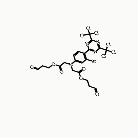 O=CCCOC(=O)CN(CC(=O)OCCC=O)c1ccc(-c2nc(C(Cl)(Cl)Cl)nc(C(Cl)(Cl)Cl)n2)c(Br)c1